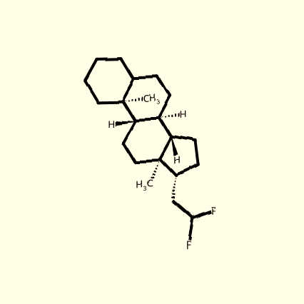 C[C@]12CC[C@H]3[C@@H](CCC4CCCC[C@@]43C)[C@@H]1CC[C@@H]2CC(F)F